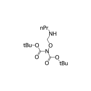 CCCNCON(C(=O)OC(C)(C)C)C(=O)OC(C)(C)C